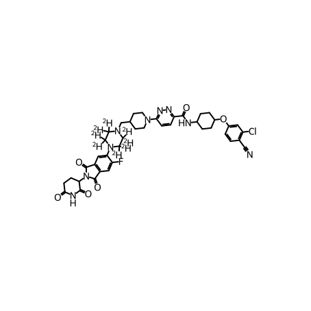 [2H]C1([2H])N(CC2CCN(c3ccc(C(=O)NC4CCC(Oc5ccc(C#N)c(Cl)c5)CC4)nn3)CC2)C([2H])([2H])C([2H])([2H])N(c2cc3c(cc2F)C(=O)N(C2CCC(=O)NC2=O)C3=O)C1([2H])[2H]